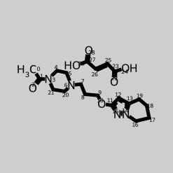 CC(=O)N1CCN(CCCOc2cc3n(n2)CCCC3)CC1.O=C(O)C=CC(=O)O